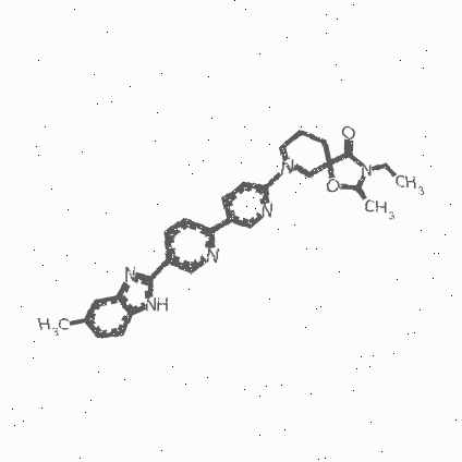 CCN1C(=O)C2(CCCN(c3ccc(-c4ccc(-c5nc6cc(C)ccc6[nH]5)cn4)cn3)C2)OC1C